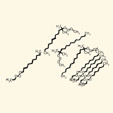 CCCCCCCCCCC(C)(C)OOOC.CCCCCCCCCCCC(C)(C)OOOC.CCCCCCCCCCCCC(C)(C)OOOC.CCCCCCCCCCOOOCC.CCCCCCCCCOOOCC.CCCCCCCCOOOCC.CCCCCCCOOOCC.CCCCCCOOOCC